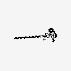 CCCCCCCCCCCCCCCCOCC(COP(=O)(O)Oc1ccccc1Cn1cc[n+](CCC)c1)OC